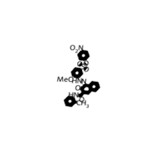 COc1ccc(S(=O)(=O)Oc2ccc([N+](=O)[O-])cc2)cc1N/N=C1\C(=O)C(C(=O)Nc2ccccc2C)=Cc2ccccc21